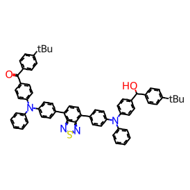 CC(C)(C)c1ccc(C(=O)c2ccc(N(c3ccccc3)c3ccc(-c4ccc(-c5ccc(N(c6ccccc6)c6ccc(C(O)c7ccc(C(C)(C)C)cc7)cc6)cc5)c5nsnc45)cc3)cc2)cc1